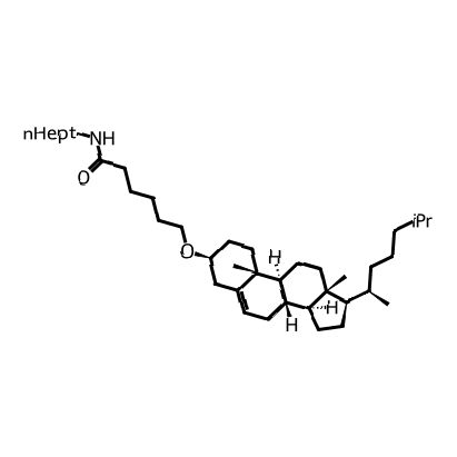 CCCCCCCNC(=O)CCCCCO[C@H]1CC[C@@]2(C)C(=CC[C@H]3[C@@H]4CC[C@H]([C@H](C)CCCC(C)C)[C@@]4(C)CC[C@@H]32)C1